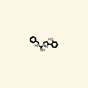 N=C(NCc1ccccc1)N1CCC(c2ccccc2O)=N1